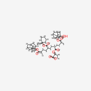 CC(CCC(CCC(CCC(C)C(=O)OC1(C(C)C)C2CC3CC(C2)CC1C3)C(=O)OC1(C(C)C)CCCCC1)C(=O)OC1CCOC1=O)C(=O)OC12CC3CC(CC(O)(C3)C1)C2